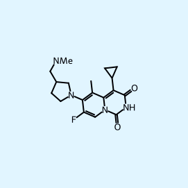 CNCC1CCN(c2c(F)cn3c(=O)[nH]c(=O)c(C4CC4)c3c2C)C1